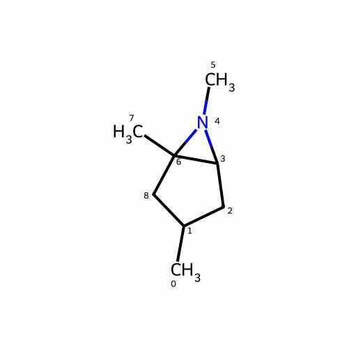 CC1CC2N(C)C2(C)C1